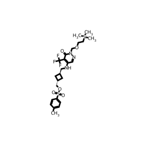 Cc1ccc(S(=O)(=O)OC[C@H]2C[C@H](CNc3cnn(COCC[Si](C)(C)C)c(=O)c3C(F)(F)F)C2)cc1